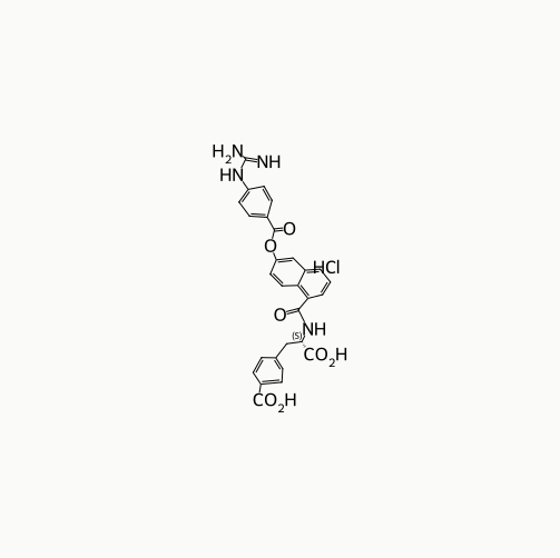 Cl.N=C(N)Nc1ccc(C(=O)Oc2ccc3c(C(=O)N[C@@H](Cc4ccc(C(=O)O)cc4)C(=O)O)cccc3c2)cc1